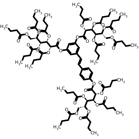 CCCC(=O)OC[C@@H](OC(=O)CCC)[C@@H](OC(=O)CCC)[C@H](OC(=O)CCC)[C@@H](OC(=O)CCC)C(=O)Oc1ccc(/C=C/c2cc(OC(=O)[C@H](OC(=O)CCC)[C@@H](OC(=O)CCC)[C@H](OC(=O)CCC)[C@@H](COC(=O)CCC)OC(=O)CCC)cc(OC(=O)[C@H](OC(=O)CCC)[C@@H](OC(=O)CCC)[C@H](OC(=O)CCC)[C@@H](COC(=O)CCC)OC(=O)CCC)c2)cc1